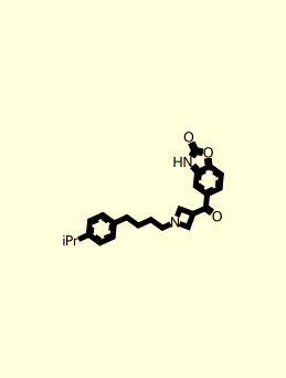 CC(C)c1ccc(CCCCN2CC(C(=O)c3ccc4oc(=O)[nH]c4c3)C2)cc1